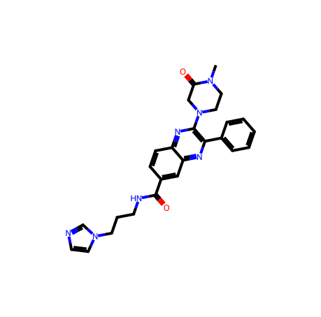 CN1CCN(c2nc3ccc(C(=O)NCCCn4ccnc4)cc3nc2-c2ccccc2)CC1=O